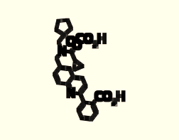 O=C(O)OC1(CN(Cc2ccc3nc(-c4ccccc4C(=O)O)ccc3c2)C(=O)C2CC2)CCCC1